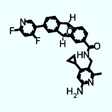 Cc1nc(N)cc(C2CC2)c1CNC(=O)c1ccc2c(c1)[C@@H]1O[C@H]2c2ccc(-c3cnc(F)cc3F)cc21